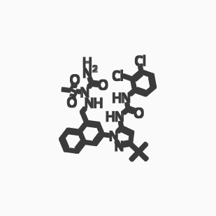 CC(C)(C)c1cc(NC(=O)Nc2cccc(Cl)c2Cl)n(-c2cc(CNN(C(N)=O)S(C)(=O)=O)c3ccccc3c2)n1